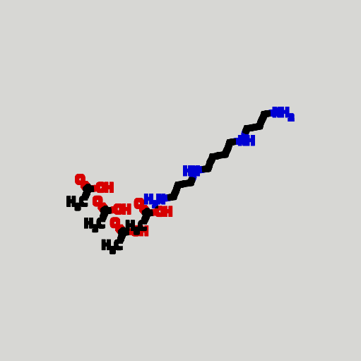 CC(=O)O.CC(=O)O.CC(=O)O.CC(=O)O.NCCCNCCCCNCCCN